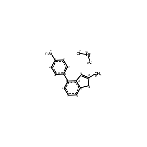 CCCCc1ccc(-c2cccc3c2C=C(C)[CH]3)cc1.[Cl][Hf][Cl]